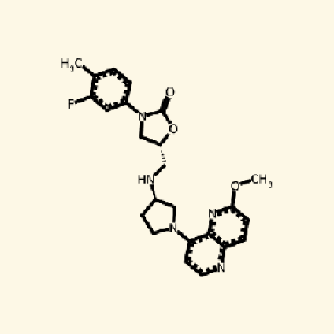 COc1ccc2nccc(N3CC[C@@H](NC[C@@H]4CN(c5ccc(C)c(F)c5)C(=O)O4)C3)c2n1